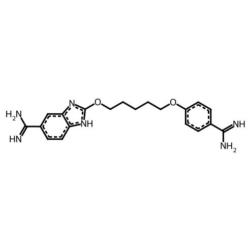 N=C(N)c1ccc(OCCCCCOc2nc3cc(C(=N)N)ccc3[nH]2)cc1